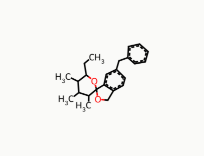 CCC1OC2(OCc3ccc(Cc4ccccc4)cc32)C(C)C(C)C1C